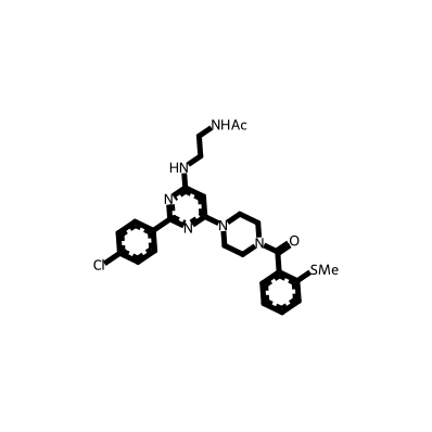 CSc1ccccc1C(=O)N1CCN(c2cc(NCCNC(C)=O)nc(-c3ccc(Cl)cc3)n2)CC1